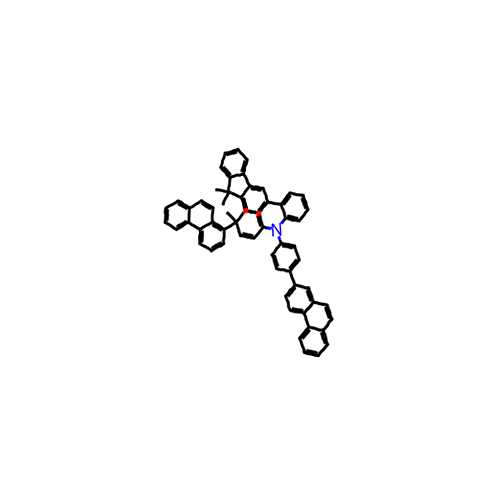 CC1(c2cccc3c2ccc2ccccc23)C=CC(N(c2ccc(-c3ccc4c(ccc5ccccc54)c3)cc2)c2ccccc2-c2ccc3c(c2)-c2ccccc2C3(C)C)=CC1